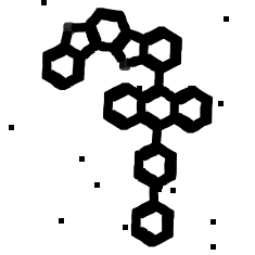 c1ccc(-c2ccc(-c3c4ccccc4c(-c4cccc5c4oc4c5ccc5oc6ccccc6c54)c4ccccc34)cc2)cc1